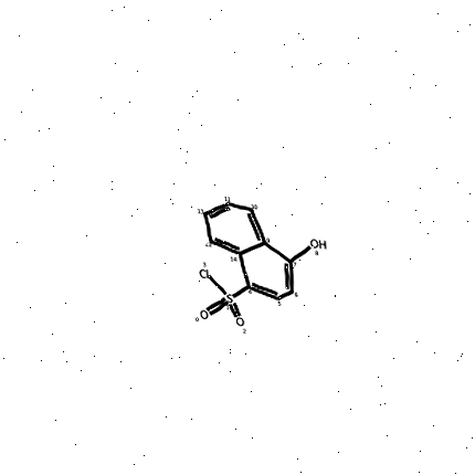 O=S(=O)(Cl)c1ccc(O)c2ccccc12